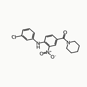 O=C(c1ccc(Nc2cccc(Cl)c2)c([N+](=O)[O-])c1)N1CCCCC1